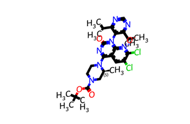 CC(C)c1ncnc(C(C)C)c1-n1c(=O)nc(N2CCN(C(=O)OC(C)(C)C)C[C@@H]2C)c2cc(Cl)c(Cl)[n+]([O-])c21